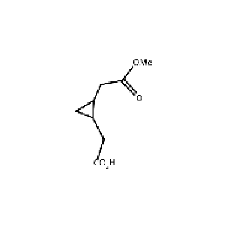 COC(=O)CC1CC1CC(=O)O